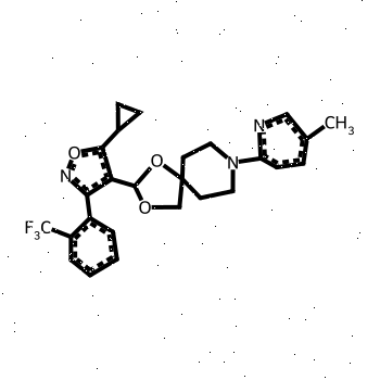 Cc1ccc(N2CCC3(CC2)COC(c2c(-c4ccccc4C(F)(F)F)noc2C2CC2)O3)nc1